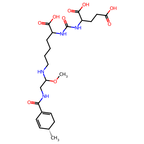 COC(CNC(=O)C1=CC[C@H](C)C=C1)NCCCCC(NC(=O)NC(CCC(=O)O)C(=O)O)C(=O)O